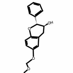 COCOc1ccc2c(c1)C[C@H](O)[C@@H](c1ccccc1)O2